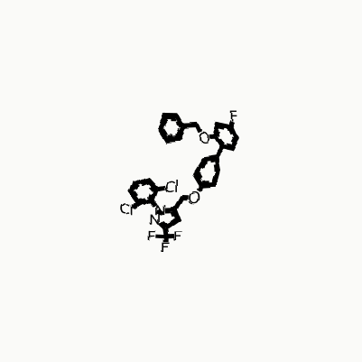 Fc1ccc(-c2ccc(OCc3cc(C(F)(F)F)nn3-c3c(Cl)cccc3Cl)cc2)c(OCc2ccccc2)c1